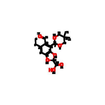 CCc1cc2c(c(B3OCC(C)(C)CO3)c1C=O)OC(C(=O)O)O2